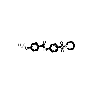 COc1ccc(C(=O)Nc2ccc(S(=O)(=O)N3CCCCC3)cc2)cc1